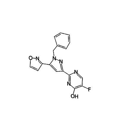 Oc1nc(-c2cc(-c3ccon3)n(Cc3ccccc3)n2)ncc1F